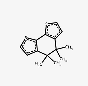 CC1(C)c2ccsc2-c2sccc2C1(C)C